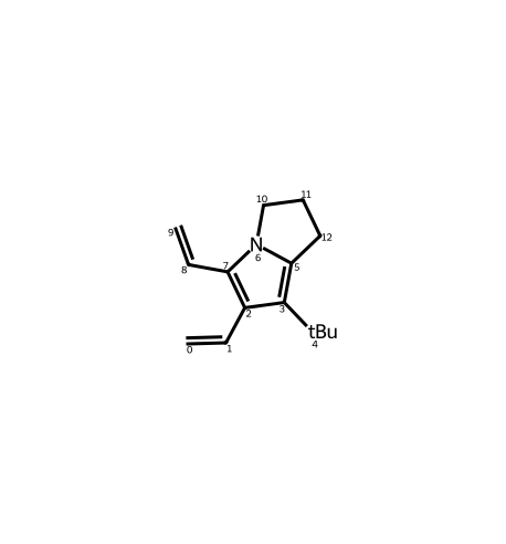 C=Cc1c(C(C)(C)C)c2n(c1C=C)CCC2